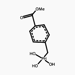 COC(=O)c1ccc(C[PH](O)(O)O)cc1